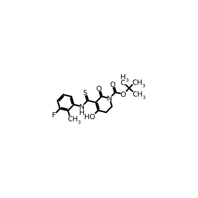 Cc1c(F)cccc1NC(=S)C1=C(O)CCN(C(=O)OC(C)(C)C)C1=O